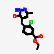 CCOC(=O)c1ccc(Cc2cc(C)n[nH]c2=O)c(Cl)c1